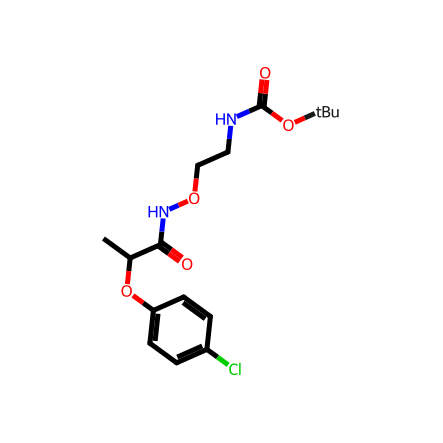 CC(Oc1ccc(Cl)cc1)C(=O)NOCCNC(=O)OC(C)(C)C